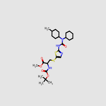 COC(=O)C(CSc1cnc(NC(=O)N(C2CCCCC2)C2CCC(C)CC2)s1)NC(=O)OC(C)(C)C